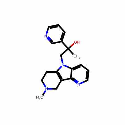 CN1CCc2c(c3ncccc3n2CC(C)(O)c2cccnc2)C1